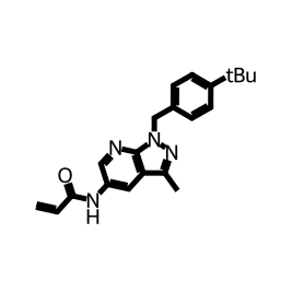 C=CC(=O)Nc1cnc2c(c1)c(C)nn2Cc1ccc(C(C)(C)C)cc1